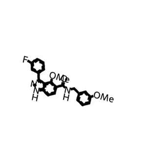 COc1cccc(CNC(=O)c2ccc3[nH]nc(-c4cccc(F)c4)c3c2OC)c1